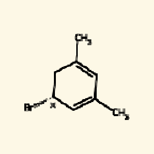 CC1=C[C@H](Br)CC(C)=C1